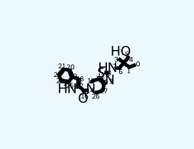 CCC(C)(CO)CNc1nc2c(s1)CN(C(=O)c1cc3ccccc3[nH]1)CC2